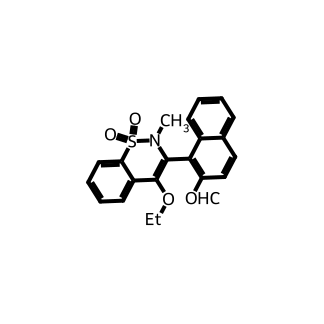 CCOC1=C(c2c(C=O)ccc3ccccc23)N(C)S(=O)(=O)c2ccccc21